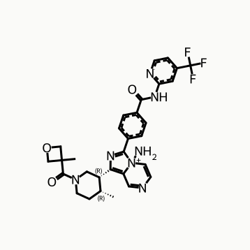 C[C@@H]1CCN(C(=O)C2(C)COC2)C[C@@H]1C1=C2C=NC=C[N+]2(N)C(c2ccc(C(=O)Nc3cc(C(F)(F)F)ccn3)cc2)=N1